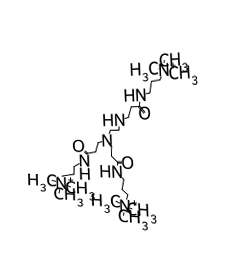 C[N+](C)(C)CCCNC(=O)CCNCCN(CCC(=O)NCCC[N+](C)(C)C)CCC(=O)NCCC[N+](C)(C)C